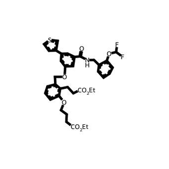 CCOC(=O)CCCOc1cccc(COc2cc(C(=O)NCc3ccccc3OC(F)F)cc(-c3ccsc3)c2)c1CCC(=O)OCC